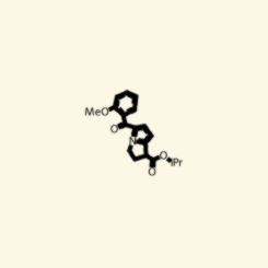 COc1ccccc1C(=O)c1ccc2n1CCC2C(=O)OC(C)C